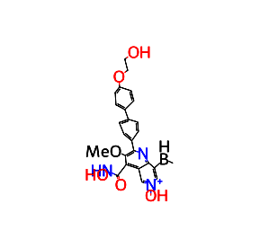 CBc1c[n+](O)cc2c(C(=O)NO)c(OC)c(-c3ccc(-c4ccc(OCCO)cc4)cc3)nc12